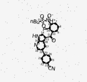 CCCCS(=O)(=O)[NH+]([O-])c1cccc(C(=O)c2c[nH]c3ncc(-c4ccc(C#N)cc4)cc23)c1F